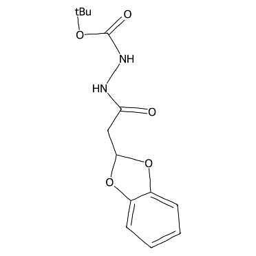 CC(C)(C)OC(=O)NNC(=O)CC1Oc2ccccc2O1